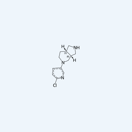 Clc1ccc(N2CC[C@@H]3CNC[C@@H]3C2)cn1